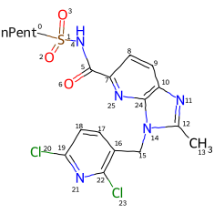 CCCCCS(=O)(=O)NC(=O)c1ccc2nc(C)n(Cc3ccc(Cl)nc3Cl)c2n1